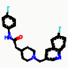 O=C(CC1CCN(Cc2cnc3ccc(F)cc3c2)CC1)Nc1ccc(F)cc1